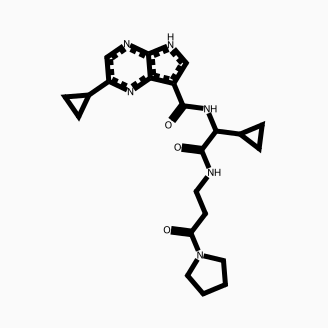 O=C(NC(C(=O)NCCC(=O)N1CCCC1)C1CC1)c1c[nH]c2ncc(C3CC3)nc12